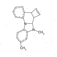 Cc1ccc2c(c1)N(C)C1C3C=CC3c3ccccc3N21